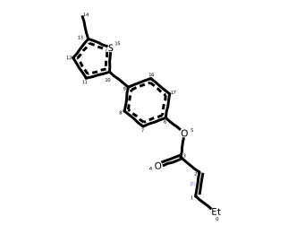 CC/C=C/C(=O)Oc1ccc(-c2ccc(C)s2)cc1